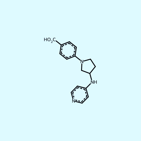 O=C(O)c1ccc(N2CCC(Nc3ccncc3)C2)cc1